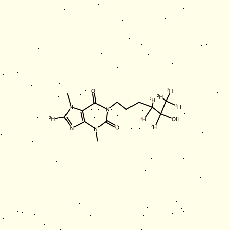 [2H]c1nc2c(c(=O)n(CCCC([2H])([2H])C([2H])(O)C([2H])([2H])[2H])c(=O)n2C)n1C